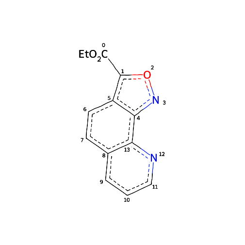 CCOC(=O)c1onc2c1ccc1cccnc12